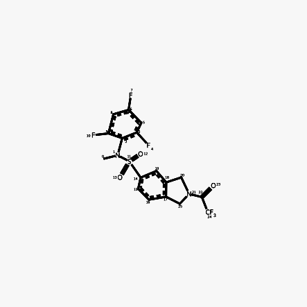 CN(c1c(F)cc(F)cc1F)S(=O)(=O)c1ccc2c(c1)CN(C(=O)C(F)(F)F)C2